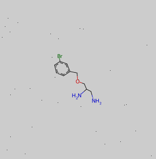 NCC(N)COCc1cccc(Br)c1